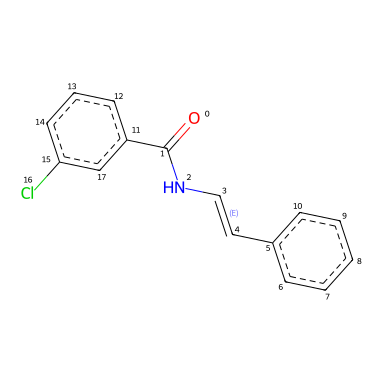 O=C(N/C=C/c1ccccc1)c1cccc(Cl)c1